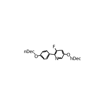 CCCCCCCCCCOc1ccc(-c2ncc(OCCCCCCCCCC)cc2F)cc1